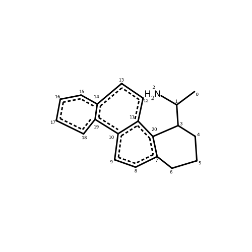 CC(N)C1CCCc2ccc3c(ccc4ccccc43)c21